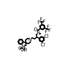 CN(CC(CCN1CCC2(CC1)CN(S(C)(=O)=O)c1ccccc12)c1cc(Cl)cc(Cl)c1)C(=O)c1cc(C(F)(F)F)cc(C(F)(F)F)c1